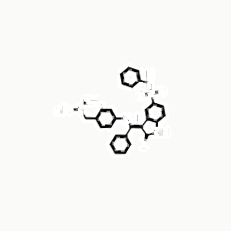 CCCN(C)Cc1ccc(NC(=C2C(=O)Nc3ccc(S(=O)(=O)Nc4ccccc4)cc32)c2ccccc2)cc1